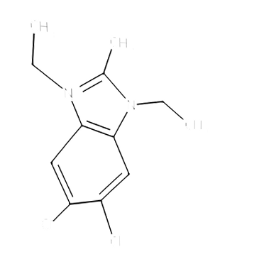 CCn1c(C)[n+](CC)c2cc(Cl)c(Cl)cc21